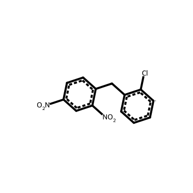 O=[N+]([O-])c1ccc(Cc2ccc[c]c2Cl)c([N+](=O)[O-])c1